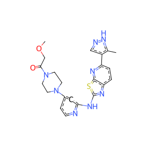 COCC(=O)N1CCN(c2ccnc(Nc3nc4ccc(-c5cn[nH]c5C)nc4s3)c2)CC1